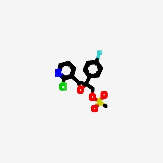 CS(=O)(=O)OCC1(c2ccc(F)cc2)OC1c1cccnc1Cl